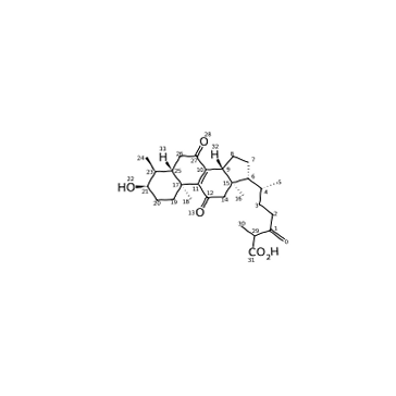 C=C(CC[C@@H](C)[C@H]1CC[C@H]2C3=C(C(=O)C[C@]12C)[C@@]1(C)CC[C@@H](O)[C@@H](C)[C@@H]1CC3=O)C(C)C(=O)O